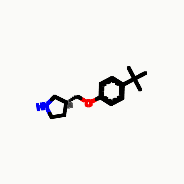 CC(C)(C)c1ccc(OC[C@@H]2CCNC2)cc1